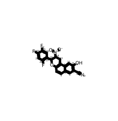 N#Cc1cc2ccc3c(c2cc1O)CC([N+](=O)[O-])C(c1cc(F)c(F)cc1F)O3